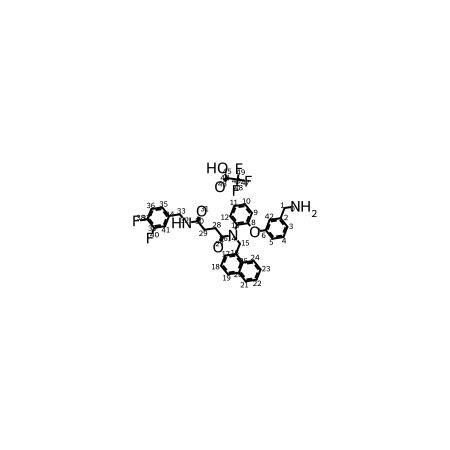 NCc1cccc(Oc2ccccc2N(Cc2cccc3ccccc23)C(=O)CCC(=O)NCc2ccc(F)c(F)c2)c1.O=C(O)C(F)(F)F